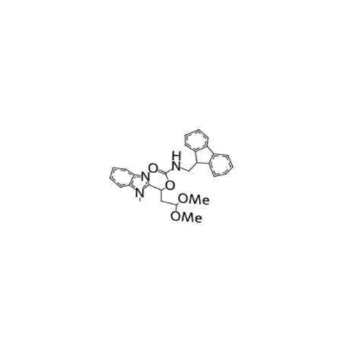 COC(CC(OC(=O)NCC1c2ccccc2-c2ccccc21)c1nc2ccccc2n1C)OC